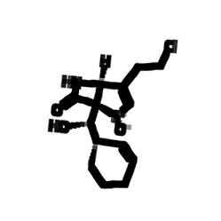 O=C1N[C@H]2C(CCCl)=C[S+]([O-])[C@@]12[C@@H](O)[C@@H]1C=CCCC1